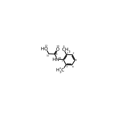 Cc1cccc(C)c1NC(=O)CO